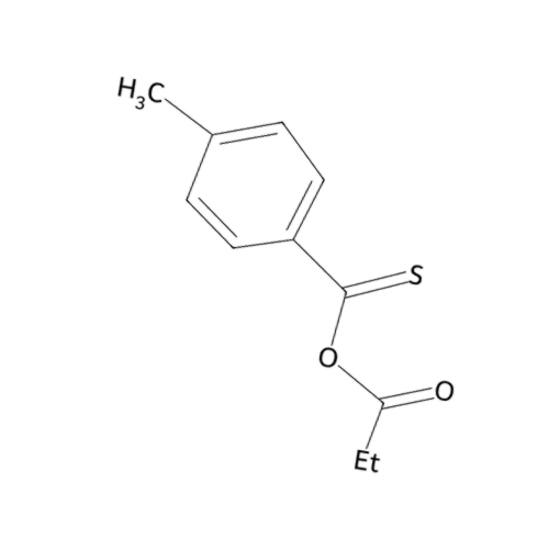 CCC(=O)OC(=S)c1ccc(C)cc1